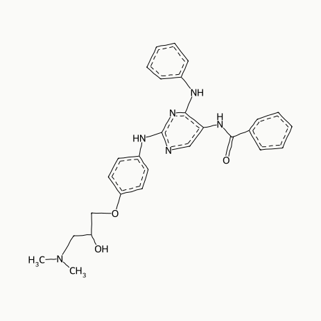 CN(C)CC(O)COc1ccc(Nc2ncc(NC(=O)c3ccccc3)c(Nc3ccccc3)n2)cc1